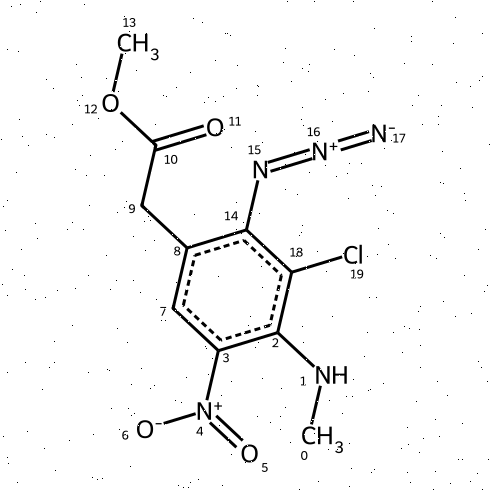 CNc1c([N+](=O)[O-])cc(CC(=O)OC)c(N=[N+]=[N-])c1Cl